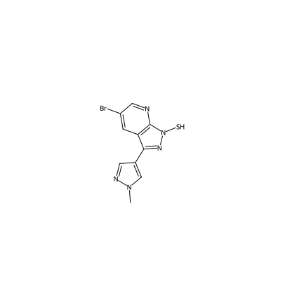 Cn1cc(-c2nn(S)c3ncc(Br)cc23)cn1